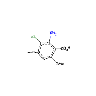 COc1cc(C)c(Cl)c(N)c1C(=O)O